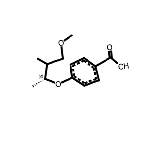 COCC(C)[C@@H](C)Oc1ccc(C(=O)O)cc1